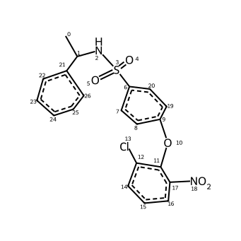 CC(NS(=O)(=O)c1ccc(Oc2c(Cl)cccc2[N+](=O)[O-])cc1)c1ccccc1